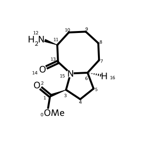 COC(=O)[C@@H]1CC[C@@H]2CCCC[C@H](N)C(=O)N21